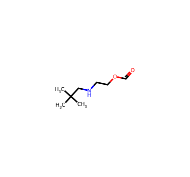 CC(C)(C)CNCCOC=O